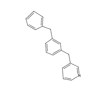 c1ccc(Cc2cccc(Cc3cccnc3)c2)cc1